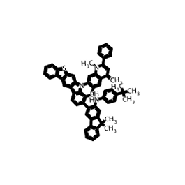 C=C1C=C(c2ccccc2)N(C)c2cc3c(cc21)Bc1c(-c2cc4c(cc2Nc2ccc(C(C)(C)C)cc2)C(C)(C)c2ccccc2-4)ccc2c4cc5c(cc4n-3c12)sc1ccccc15